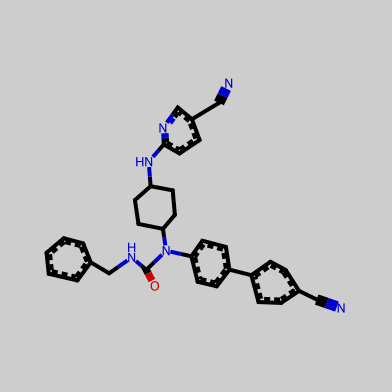 N#Cc1ccc(-c2ccc(N(C(=O)NCc3ccccc3)C3CCC(Nc4ccc(C#N)cn4)CC3)cc2)cc1